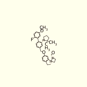 COc1ccc(F)c(-c2ccc(COc3ccc4c(c3)[C@]3(CC4)CC[C@H]3C=O)cc2[C@@H]2CCCC2(C)C)c1